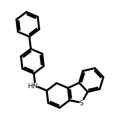 C1=CC(Nc2ccc(-c3ccccc3)cc2)Cc2c1sc1ccccc21